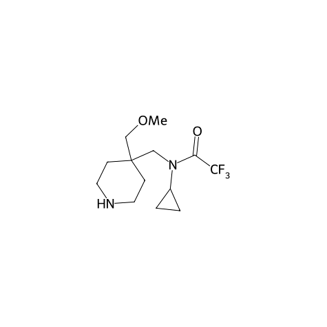 COCC1(CN(C(=O)C(F)(F)F)C2CC2)CCNCC1